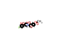 CC(=O)Oc1ccc2c(c1)[C@H](O)[C@H](N1CCC(O)(c3ccc(F)cc3)CC1)CO2